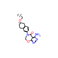 Nc1ncnc2c1C(=O)N(c1ccc3c(c1)CC[C@H](OCC(F)(F)F)C3)CCO2